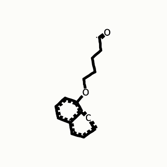 O=[C]CCCCOc1cccc2ccccc12